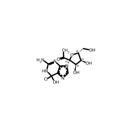 CC(=O)[C@@]1(n2cnc3c2N=C(N)NC3(O)Cl)O[C@H](CO)[C@@H](O)[C@H]1O